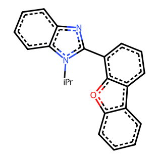 CC(C)n1c(-c2cccc3c2oc2ccccc23)nc2ccccc21